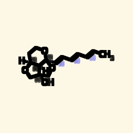 C/C=C/C=C/C=C/[C@]12OCC[C@@H]3OC[C@](O)(CO1)[C@@H]32